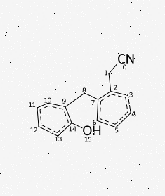 N#CCc1ccccc1Cc1ccccc1O